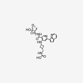 CC(C)(O)C(F)CNC(=O)c1cnc(-c2ccc3cccnn23)cc1NC1CC(CNC(=O)O)C1